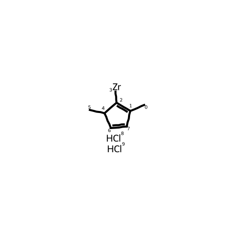 CC1=[C]([Zr])C(C)C=C1.Cl.Cl